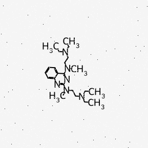 CCN(CC)CCN(C)c1nc(N(C)CCN(CC)CC)c2ccccc2n1